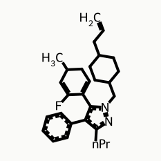 C=CCC1CCC(Cn2nc(CCC)c(-c3ccccc3)c2C2=CCC(C)C=C2F)CC1